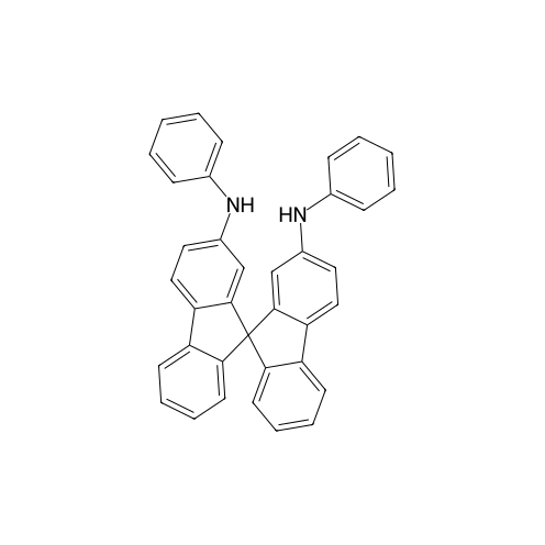 c1ccc(Nc2ccc3c(c2)C2(c4ccccc4-3)c3ccccc3-c3ccc(Nc4ccccc4)cc32)cc1